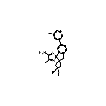 CC1=NC2(N=C1N)c1cc(-c3cncc(C)c3)ccc1CC21CCC(F)(F)CC1